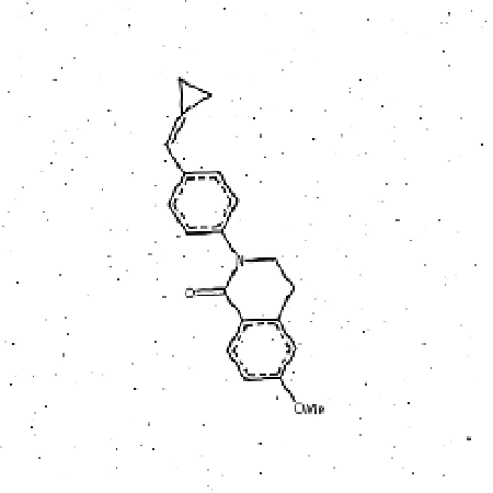 COc1ccc2c(c1)CCN(c1ccc(C=C3CC3)cc1)C2=O